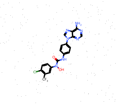 Nc1ncnc2c1ncn2-c1ccc(NC(=O)N(O)c2ccc(Cl)c(C(F)(F)F)c2)cc1